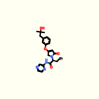 CC(C)C[C@@H](C(=O)Nc1cnccn1)N1CC(Oc2cccc(CC(C)(C)O)c2)=CC1=O